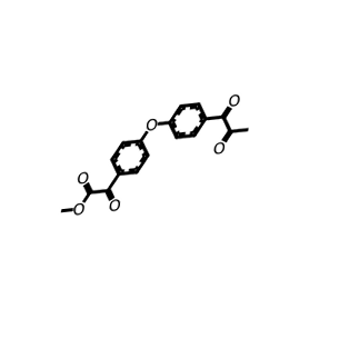 COC(=O)C(=O)c1ccc(Oc2ccc(C(=O)C(C)=O)cc2)cc1